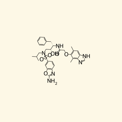 Cc1cc2[nH]cnc2c(C)c1OCC(=O)N[C@@H](Cc1ccccc1)[C@H](O)CN(CC(C)C)S(=O)(=O)c1ccc2nc(N)oc2c1